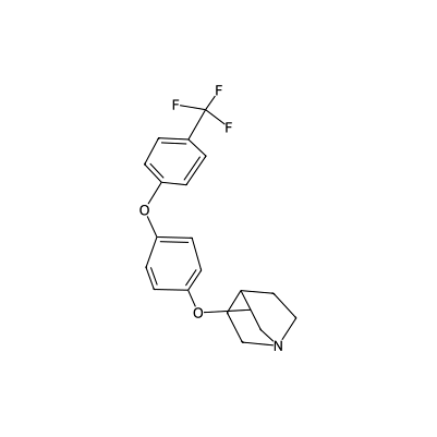 FC(F)(F)c1ccc(Oc2ccc(OC3CN4CCC3CC4)cc2)cc1